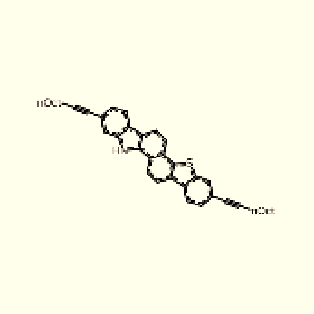 CCCCCCCCC#Cc1ccc2c(c1)[nH]c1c2ccc2c1ccc1c3ccc(C#CCCCCCCCC)cc3sc12